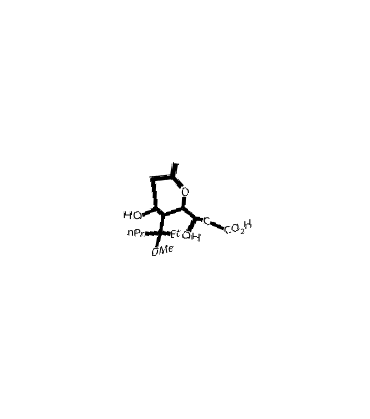 CCCC(CC)(OC)C1C(O)CC(C)OC1C(O)CC(=O)O